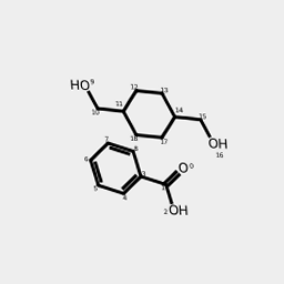 O=C(O)c1ccccc1.OCC1CCC(CO)CC1